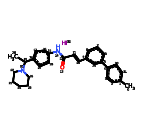 Cc1ccc(-c2cccc(/C=C/C(=O)Nc3ccc(C(C)N4CCCCC4)cc3)c2)cc1.I